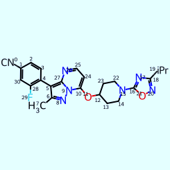 [C-]#[N+]c1ccc(-c2c(C)nn3c(OC4CCN(c5nc(C(C)C)no5)CC4)ccnc23)c(F)c1